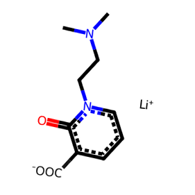 CN(C)CCn1cccc(C(=O)[O-])c1=O.[Li+]